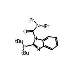 CC(C)N(C(=O)n1c(P(C(C)(C)C)C(C)(C)C)nc2ccccc21)C(C)C